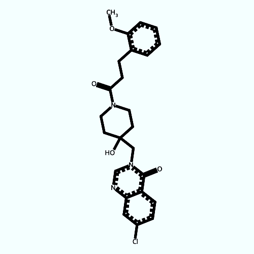 COc1ccccc1CCC(=O)N1CCC(O)(Cn2cnc3cc(Cl)ccc3c2=O)CC1